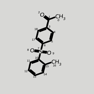 CC(=O)c1ccc(S(=O)(=O)c2ccccc2C)cc1